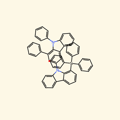 c1ccc(-c2cc(-n3c4ccccc4c4cccc([Si](c5ccccc5)(c5ccccc5)c5ccccc5)c43)cc3c4ccccc4n(-c4ccccc4)c23)cc1